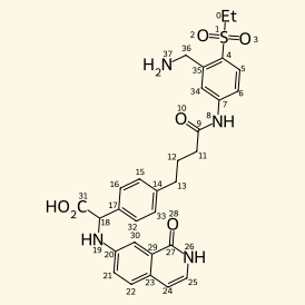 CCS(=O)(=O)c1ccc(NC(=O)CCCc2ccc(C(Nc3ccc4cc[nH]c(=O)c4c3)C(=O)O)cc2)cc1CN